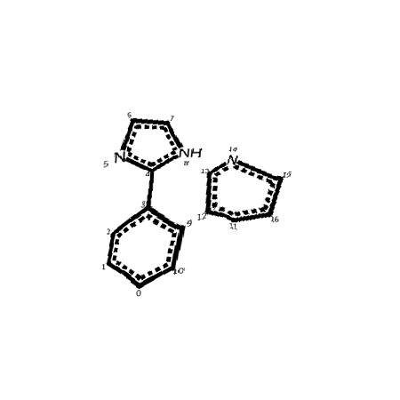 c1ccc(-c2ncc[nH]2)cc1.c1ccncc1